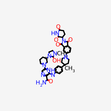 CN1CCN([C@@H]2CCCN(c3cnc(C(N)=O)c(Nc4ccc(C5(C)CCN(c6ccc7c(c6)C(=O)N(C6CCC(=O)NC6=O)C7=O)CC5)cc4)n3)C2)C1O